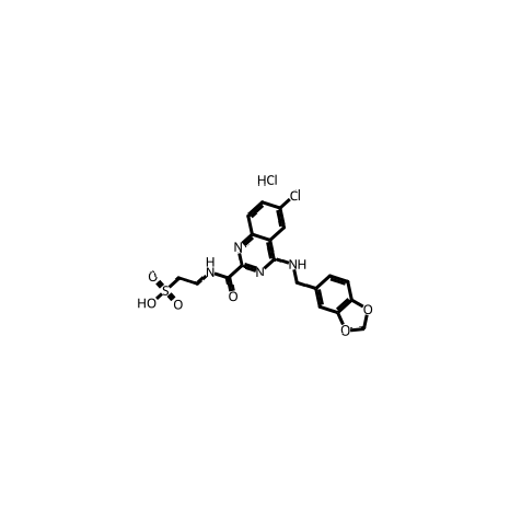 Cl.O=C(NCCS(=O)(=O)O)c1nc(NCc2ccc3c(c2)OCO3)c2cc(Cl)ccc2n1